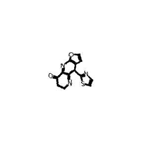 O=C1CCN=C2C1=Nc1occc1C2c1nccs1